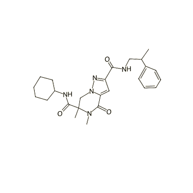 CC(CNC(=O)c1cc2n(n1)CC(C)(C(=O)NC1CCCCC1)N(C)C2=O)c1ccccc1